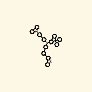 c1ccc(C2(c3ccccc3)c3ccccc3-c3cc(N(c4ccc(-c5ccc(-n6c7ccccc7c7ccccc76)cc5)cc4)c4ccc(-c5cccc(-c6ccc7sc8ccccc8c7c6)c5)cc4)ccc32)cc1